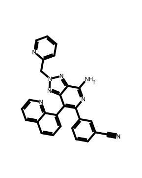 N#Cc1cccc(-c2nc(N)c3nn(Cc4ccccn4)nc3c2-c2cccc3cccnc23)c1